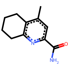 Cc1cc(C(N)=O)nc2c1CCCC2